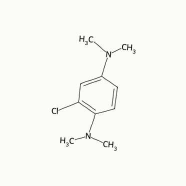 CN(C)c1ccc(N(C)C)c(Cl)c1